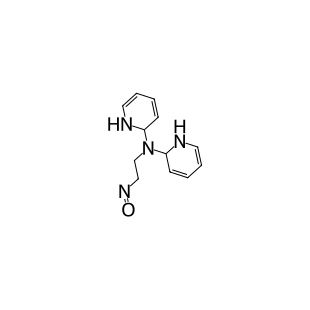 O=NCCN(C1C=CC=CN1)C1C=CC=CN1